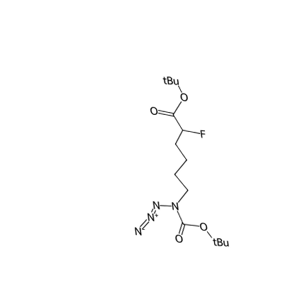 CC(C)(C)OC(=O)C(F)CCCCN(N=[N+]=[N-])C(=O)OC(C)(C)C